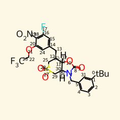 CC(C)(C)c1cccc(CN2C(=O)O[C@H]3[C@H](Cc4cc(F)c([N+](=O)[O-])c(OCC(F)(F)F)c4)CS(=O)(=O)C[C@@H]32)c1